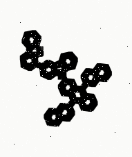 c1ccc2cc(-c3c4ccccc4c(-c4ccc5ccccc5c4)c4cc(-n5c6ccccc6c6cc(-c7cccc8c7sc7ccccc78)ccc65)ccc34)ccc2c1